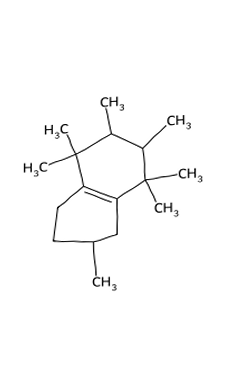 CC1CCC2=C(C1)C(C)(C)C(C)C(C)C2(C)C